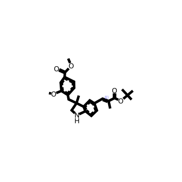 COC(=O)c1ccc(CC2(C)CNc3ccc(/C=C(\C)C(=O)OC(C)(C)C)cc32)c(OC)c1